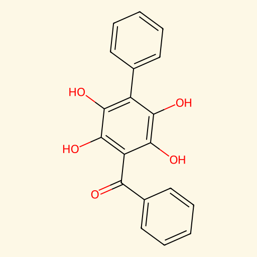 O=C(c1ccccc1)c1c(O)c(O)c(-c2ccccc2)c(O)c1O